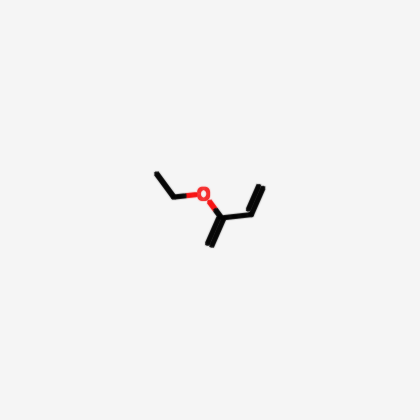 C=CC(=C)OCC